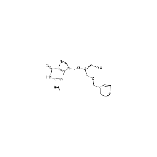 Nc1nc2c(ncn2CO[C@@H](CO)COCc2ccccc2)c(=O)[nH]1